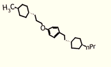 CCC[C@H]1CC[C@H](CCc2ccc(OCCC[C@H]3CC[C@H](C)CC3)cc2)CC1